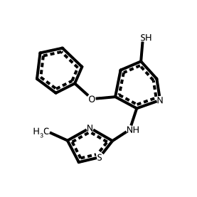 Cc1csc(Nc2ncc(S)cc2Oc2ccccc2)n1